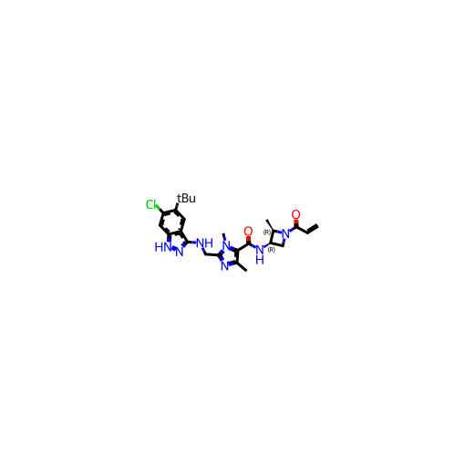 C=CC(=O)N1C[C@@H](NC(=O)c2c(C)nc(CNc3n[nH]c4cc(Cl)c(C(C)(C)C)cc34)n2C)[C@H]1C